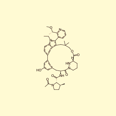 CCn1c(-c2cccnc2[C@H](C)OC)c2c3cc(ccc31)-c1cc(O)cc(c1)C[C@H](NC(=O)[C@@H]1[C@@H](C)CCN1C(C)=O)C(=O)N1CCC[C@H](N1)C(=O)OCC(C)(C)C2